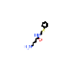 NCCCCC(=O)NCCSc1ccccc1